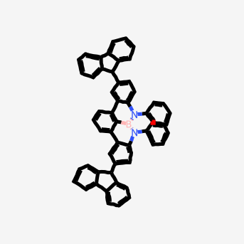 c1ccc(N2B3c4c(cccc4-c4cc(C5c6ccccc6-c6ccccc65)ccc4N3c3ccccc3)-c3cc(C4c5ccccc5-c5ccccc54)ccc32)cc1